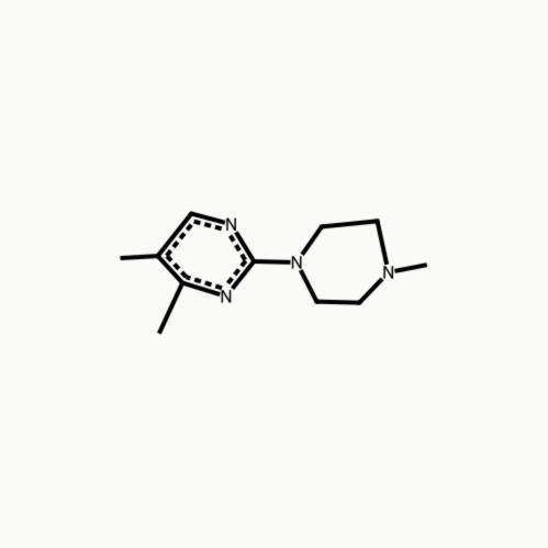 Cc1cnc(N2CCN(C)CC2)nc1C